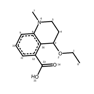 CCOC1CCN(C)c2cccc(C(=O)O)c21